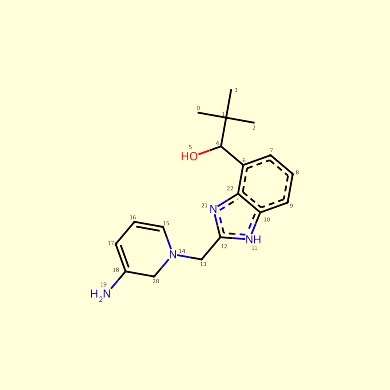 CC(C)(C)C(O)c1cccc2[nH]c(CN3C=CC=C(N)C3)nc12